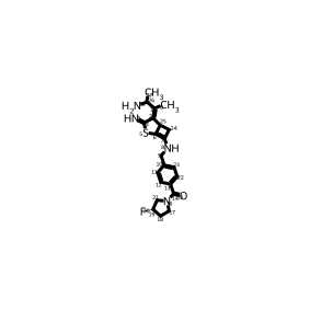 C/C(=C1/C(=N)SC2=C(NCc3ccc(C(=O)N4CC[C@H](F)C4)cc3)CC21)C(C)N